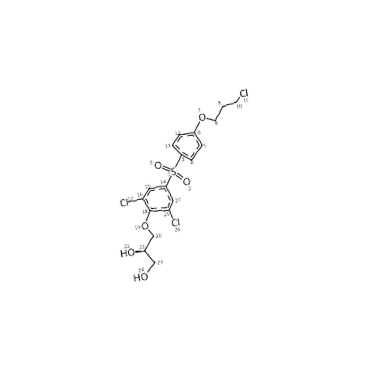 O=S(=O)(c1ccc(OCCCCl)cc1)c1cc(Cl)c(OC[C@H](O)CO)c(Cl)c1